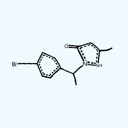 Cc1cc(=O)n(C(C)c2ccc(Br)cc2)[nH]1